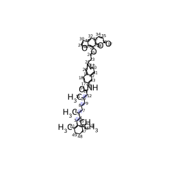 CC1=C(/C=C/C(C)=C/C=C/C(C)=C/C(=O)Nc2ccc3c[n+](CCCOc4c5occc5cc5ccc(=O)oc45)ccc3c2)C(C)(C)CCC1